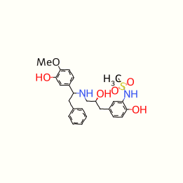 COc1ccc(C(Cc2ccccc2)NC[C@@H](O)Cc2ccc(O)c(NS(C)(=O)=O)c2)cc1O